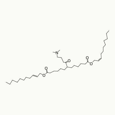 CCCCCCCC/C=C\COC(=O)CCCCCC(CCCCCC(=O)OC/C=C/CCCCCCCC)C(=O)CCCN(C)C